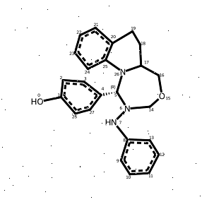 Oc1ccc([C@H]2N(Nc3ccccc3)COCC3CCc4ccccc4N32)cc1